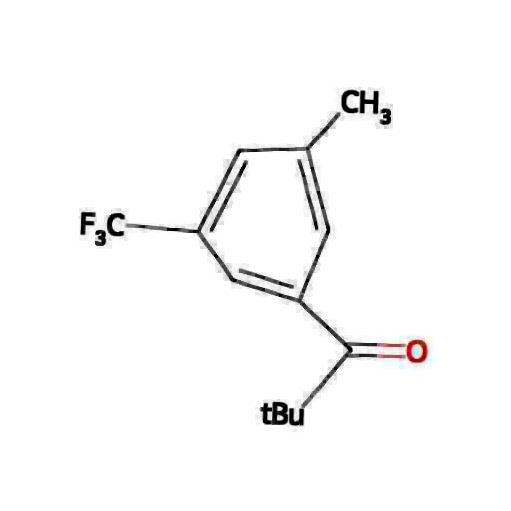 Cc1cc(C(=O)C(C)(C)C)cc(C(F)(F)F)c1